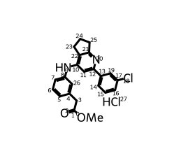 COC(=O)Cc1cccc(Nc2cc(-c3cccc(Cl)c3)nc3c2CCC3)c1.Cl